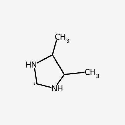 CC1N[C]NC1C